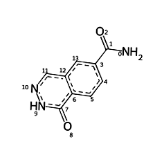 NC(=O)c1ccc2c(=O)[nH]ncc2c1